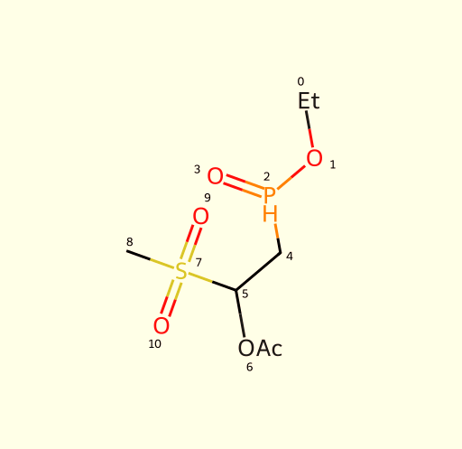 CCO[PH](=O)CC(OC(C)=O)S(C)(=O)=O